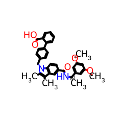 COc1cc(OC)cc([C@H](C)NC(=O)c2ccc3c(c2)c(C)c(C)n3Cc2ccc(-c3ccccc3C(=O)O)cc2)c1